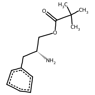 CC(C)(C)C(=O)OC[C@H](N)Cc1ccccc1